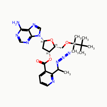 CC(N=[N+]=[N-])c1ncccc1C(=O)O[C@@H]1C[C@H](n2cnc3c(N)ncnc32)O[C@@H]1CO[Si](C)(C)C(C)(C)C